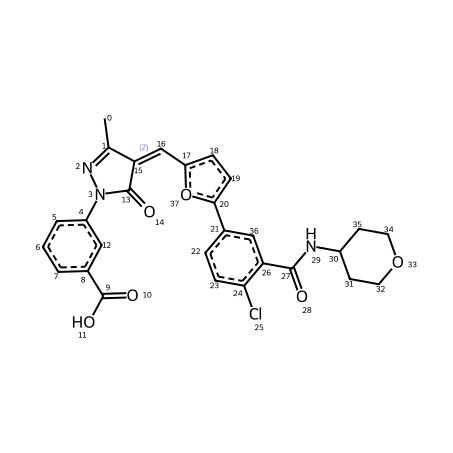 CC1=NN(c2cccc(C(=O)O)c2)C(=O)/C1=C\c1ccc(-c2ccc(Cl)c(C(=O)NC3CCOCC3)c2)o1